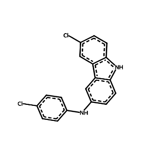 Clc1ccc(Nc2ccc3[nH]c4ccc(Cl)cc4c3c2)cc1